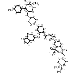 CC(=O)N=[SH]1(O)CCN(CCNc2ccc(S(=O)(=O)NC(=O)c3ccc(N4CCN(CC5=C(c6ccc(Cl)cc6)CC(C)(C)CC5)CC4)cc3Oc3cnc4[nH]ccc4c3)cc2S(=O)(=O)C(F)(F)F)CC1